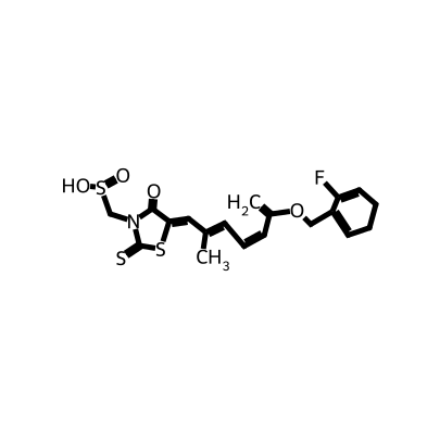 C=C(\C=C/C=C(C)/C=C1\SC(=S)N(CS(=O)O)C1=O)OCC1=CCCC=C1F